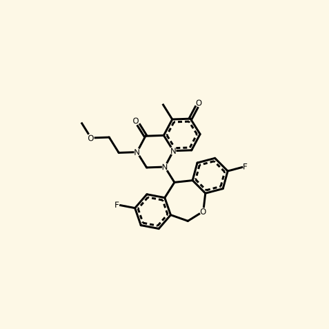 COCCN1CN(C2c3cc(F)ccc3COc3cc(F)ccc32)n2ccc(=O)c(C)c2C1=O